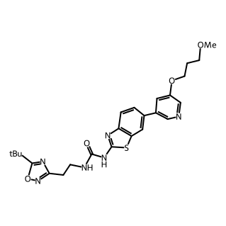 COCCCOc1cncc(-c2ccc3nc(NC(=O)NCCc4noc(C(C)(C)C)n4)sc3c2)c1